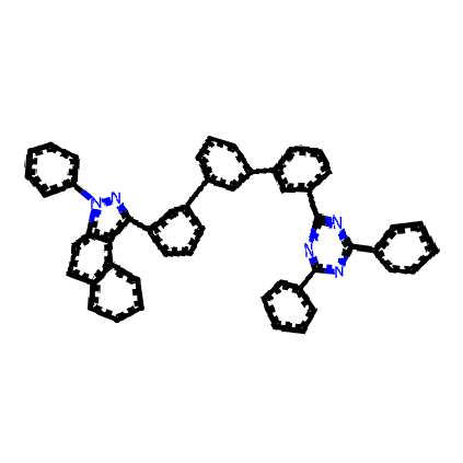 c1ccc(-c2nc(-c3ccccc3)nc(-c3cccc(-c4cccc(-c5cccc(-c6nn(-c7ccccc7)c7ccc8ccccc8c67)c5)c4)c3)n2)cc1